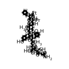 CCC(=O)N[C@@H](Cc1ccccc1)C(=O)N[C@H](C(=O)N[C@@H](CCC(=O)O)C(=O)N(C)CC(=O)N[C@@H](Cc1ccc(O)cc1)C(=O)N(C)[C@@H](Cc1ccccc1)C(=O)N(C)CC(=O)N[C@H](C(=O)N[C@@H](CS)C(=O)NCC(N)=O)[C@@H](C)O)C(C)C